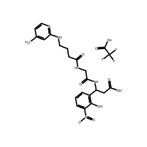 Cc1ccnc(NCCCC(=O)NCC(=O)NC(CC(=O)O)c2cccc([N+](=O)[O-])c2O)c1.O=C(O)C(F)(F)F